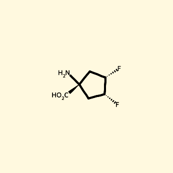 N[C@@]1(C(=O)O)C[C@@H](F)[C@@H](F)C1